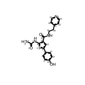 NC(=O)Nc1sc(-c2ccc(O)cc2)cc1C(=O)NCCc1ccncc1